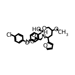 COC1CO[PH](O)(c2ccc(Oc3ccc(Cl)cc3)cc2)N(CC(=O)O)C(c2ccco2)C1